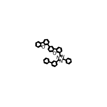 c1ccc(-c2cccc(-c3nc(-c4ccccc4)nc(-c4cccc5c4oc4ccc(-c6cccc7c6oc6ccccc67)cc45)n3)c2)cc1